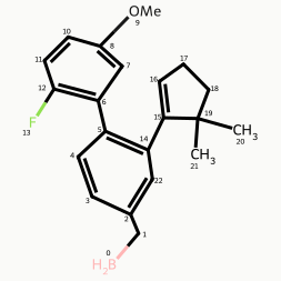 BCc1ccc(-c2cc(OC)ccc2F)c(C2=CCCC2(C)C)c1